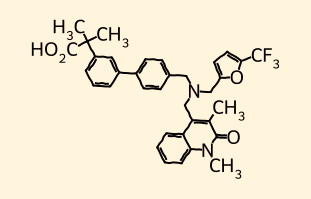 Cc1c(CN(Cc2ccc(-c3cccc(C(C)(C)C(=O)O)c3)cc2)Cc2ccc(C(F)(F)F)o2)c2ccccc2n(C)c1=O